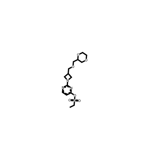 CCS(=O)(=O)Oc1ccnc(N2CC(COCC3COCCO3)C2)n1